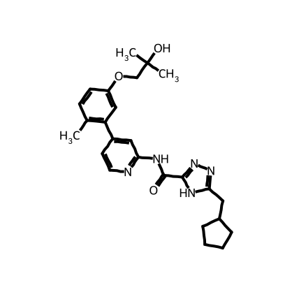 Cc1ccc(OCC(C)(C)O)cc1-c1ccnc(NC(=O)c2nnc(CC3CCCC3)[nH]2)c1